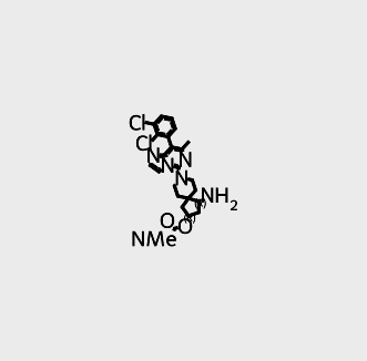 CNC(=O)O[C@H]1C[C@@H](N)C2(CCN(c3nc(C)c(-c4cccc(Cl)c4Cl)c4nccn34)CC2)C1